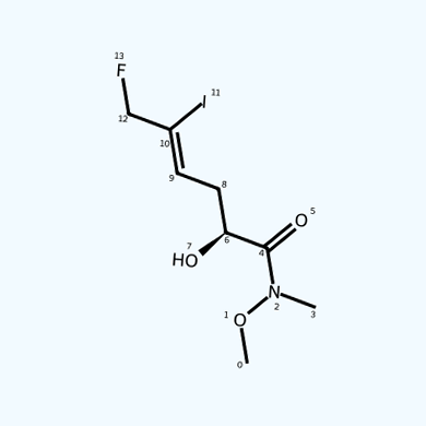 CON(C)C(=O)[C@@H](O)C/C=C(\I)CF